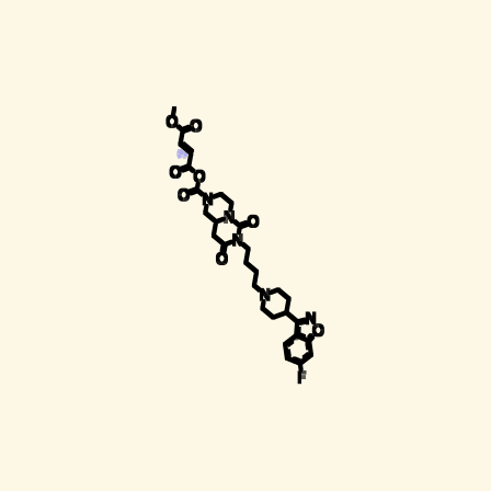 COC(=O)/C=C/C(=O)OC(=O)N1CCN2C(=O)N(CCCCN3CCC(c4noc5cc(F)ccc45)CC3)C(=O)CC2C1